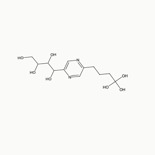 OCC(O)C(O)C(O)c1cnc(CCCC(O)(O)O)cn1